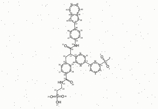 CS(=O)(=O)c1cccc(-c2ccc(C(Cc3ccc(C(=O)NCCS(=O)(=O)O)cc3)C(=O)Nc3ccc(-c4cc5ccccc5o4)cc3)cc2)c1